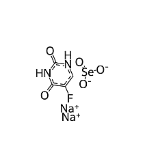 O=[Se]([O-])[O-].O=c1[nH]cc(F)c(=O)[nH]1.[Na+].[Na+]